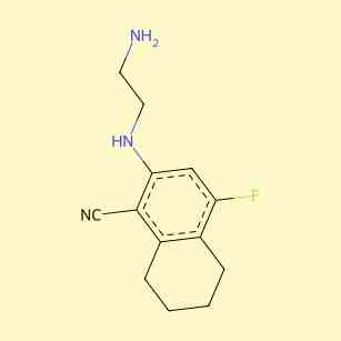 N#Cc1c(NCCN)cc(F)c2c1CCCC2